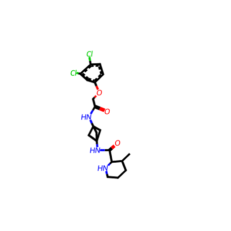 CC1CCCNC1C(=O)NC12CC(NC(=O)COc3ccc(Cl)c(Cl)c3)(C1)C2